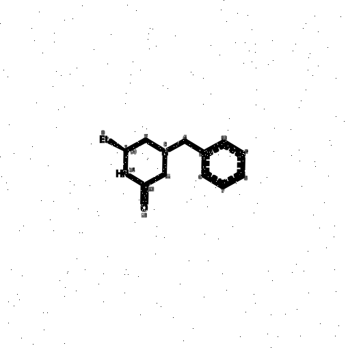 CC[C@H]1CN(Cc2ccccc2)CC(=O)N1